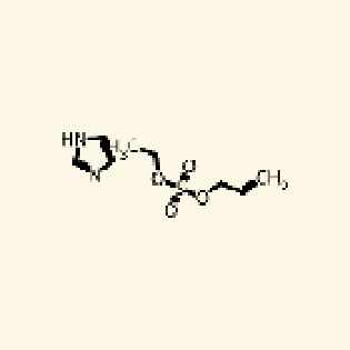 C=CCOS(=O)(=O)OCC.c1c[nH]cn1